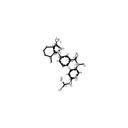 CC1CCCc2c(C(F)(F)F)nn(-c3cccc(C(=O)N(C)c4ccc(OC(F)F)nc4)c3)c21